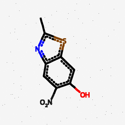 Cc1nc2cc([N+](=O)[O-])c(O)cc2s1